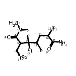 BN(C)C(=O)C(CC(C)(C)C)C(C)(CC)C(C)CC(C(N)=O)C(C)C